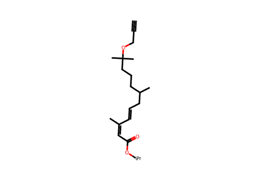 C#CCOC(C)(C)CCCC(C)CC=CC(C)=CC(=O)OC(C)C